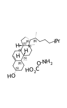 CC(C)CCC[C@@H](C)[C@H]1CC[C@H]2[C@@H]3CC=C4C[C@@H](O)CC[C@]4(C)[C@H]3CC[C@]12C.NOC(=O)O